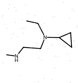 CCN(CCNC)C1CC1